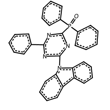 O=P(c1ccccc1)(c1ccccc1)c1nc(-c2ccccc2)nc(-n2c3ccccc3c3ccccc32)n1